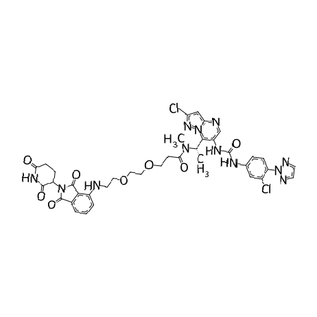 C[C@@H](c1c(NC(=O)Nc2ccc(-n3nccn3)c(Cl)c2)cnc2cc(Cl)nn12)N(C)C(=O)CCOCCOCCNc1cccc2c1C(=O)N(C1CCC(=O)NC1=O)C2=O